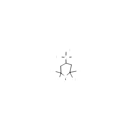 CC1(C)CC([N+](C)(C)C)CC(C)(C)N1[O]